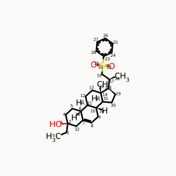 CC[C@]1(O)CC[C@H]2C(=CC[C@@H]3[C@@H]2CC[C@]2(C)[C@@H]([C@H](C)CS(=O)(=O)c4ccccc4)CC[C@@H]32)C1